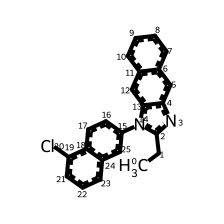 CCc1nc2cc3ccccc3cc2n1-c1ccc2c(Cl)cccc2c1